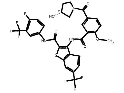 COc1ccc(C(=O)N2CC[C@@H](O)C2)cc1C(=O)Nc1c(C(=O)Nc2ccc(F)c(C(F)(F)F)c2)sc2cc(C(F)(F)F)ccc12